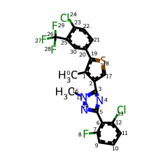 Cc1c(-c2nc(-c3c(F)cccc3Cl)nn2C)csc1-c1ccc(Cl)c(C(F)(F)F)c1